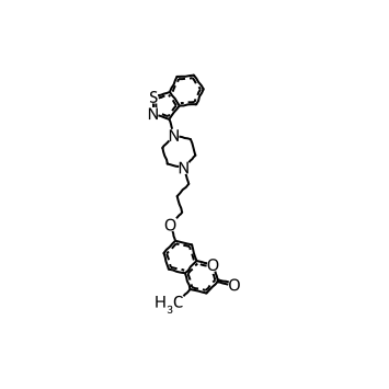 Cc1cc(=O)oc2cc(OCCCN3CCN(c4nsc5ccccc45)CC3)ccc12